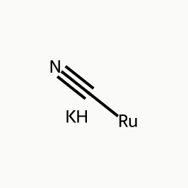 N#[C][Ru].[KH]